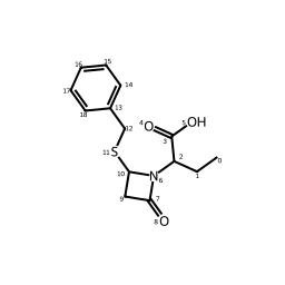 CCC(C(=O)O)N1C(=O)CC1SCc1ccccc1